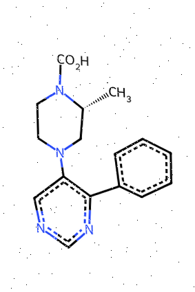 C[C@@H]1CN(c2cncnc2-c2ccccc2)CCN1C(=O)O